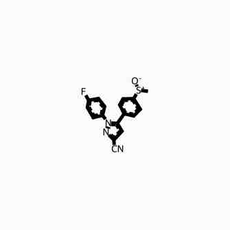 C[S+]([O-])c1ccc(-c2cc(C#N)nn2-c2ccc(F)cc2)cc1